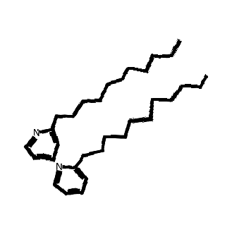 CCCCCCCCCCCc1ccccn1.CCCCCCCCCCCc1ccccn1